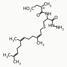 CC(C)=CCCC(C)=CCCC(C)=CCSCC(NC(=O)[C@H](C)CC(=O)O)C(=O)NN